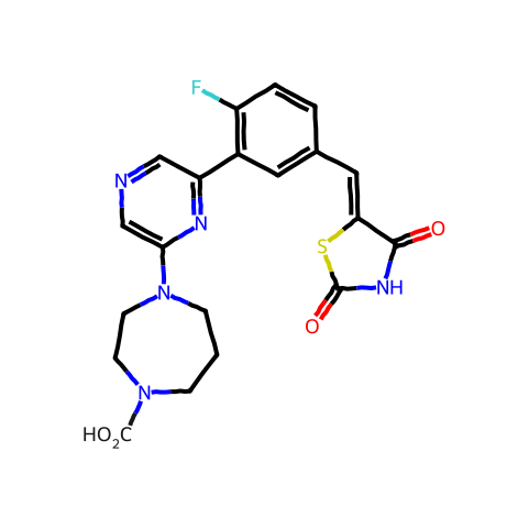 O=C1NC(=O)C(=Cc2ccc(F)c(-c3cncc(N4CCCN(C(=O)O)CC4)n3)c2)S1